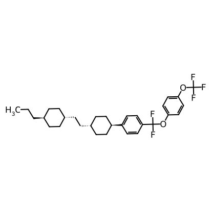 CCC[C@H]1CC[C@H](CC[C@H]2CC[C@H](c3ccc(C(F)(F)Oc4ccc(OC(F)(F)F)cc4)cc3)CC2)CC1